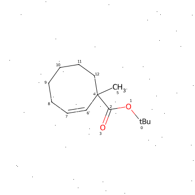 CC(C)(C)OC(=O)C1(C)/C=C\CCCCC1